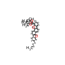 CCCCc1ccc2c(c1)oc1c2ccc2c1ccc1c3cccc(B4OC(C)(C)C(C)(C)O4)c3oc12